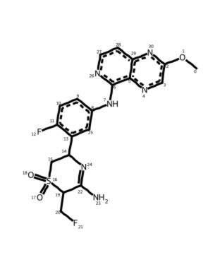 COc1cnc2c(Nc3ccc(F)c(C4CS(=O)(=O)C(CF)C(N)=N4)c3)nccc2n1